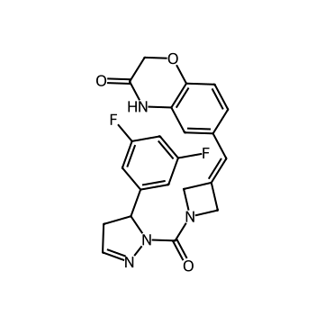 O=C1COc2ccc(C=C3CN(C(=O)N4N=CCC4c4cc(F)cc(F)c4)C3)cc2N1